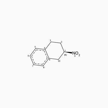 O=[N+]([O-])[C@@H]1CCc2ccccc2C1